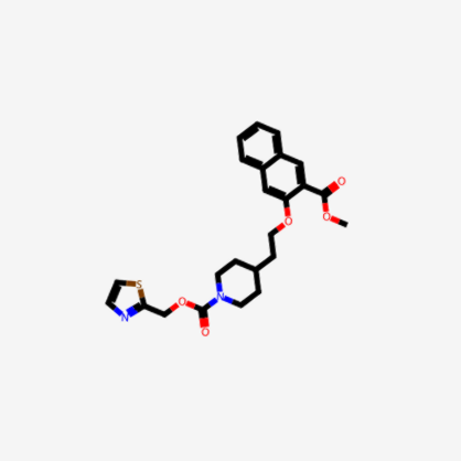 COC(=O)c1cc2ccccc2cc1OCCC1CCN(C(=O)OCc2nccs2)CC1